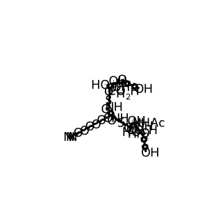 CC(=O)N[C@H]1[C@H]([C@H](O)[C@H](O)CNC(=O)c2ccc(-c3ccc(O)cc3)cc2)O[C@@](OCCCSCCNC(=O)c2ccc(C(=O)NCCSCCCO[C@]3(C(=O)O)C[C@H](O)C[C@H]([C@H](O)[C@H](O)CNC(=O)c4ccc(-c5ccc(O)cc5)cc4)O3)cc2OCCOCCOCCOCCOCCOCCN=[N+]=[N-])(C(=O)O)C[C@@H]1O